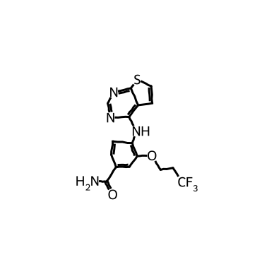 NC(=O)c1ccc(Nc2ncnc3sccc23)c(OCCC(F)(F)F)c1